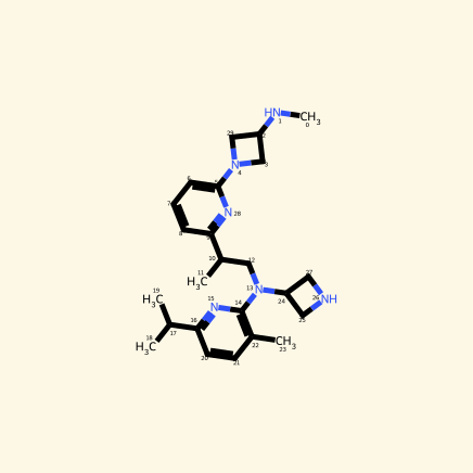 CNC1CN(c2cccc(C(C)CN(c3nc(C(C)C)ccc3C)C3CNC3)n2)C1